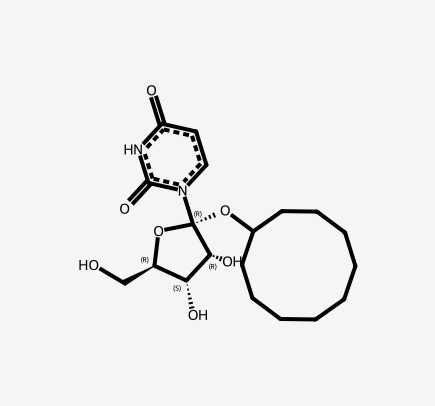 O=c1ccn([C@]2(OC3CCCCCCCCC3)O[C@H](CO)[C@@H](O)[C@H]2O)c(=O)[nH]1